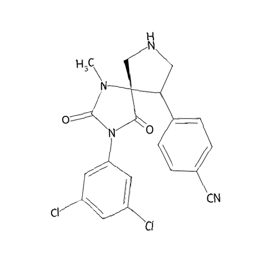 CN1C(=O)N(c2cc(Cl)cc(Cl)c2)C(=O)[C@]12CNCC2c1ccc(C#N)cc1